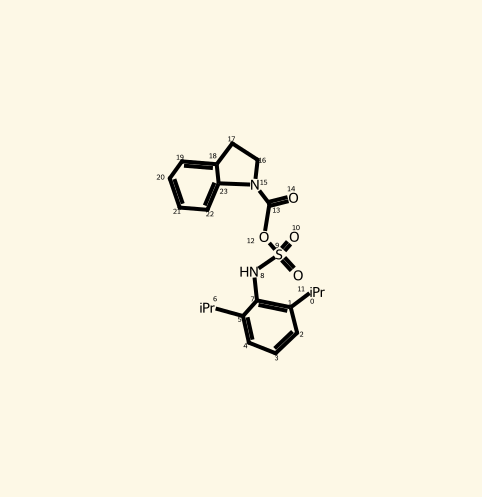 CC(C)c1cccc(C(C)C)c1NS(=O)(=O)OC(=O)N1CCc2ccccc21